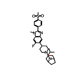 CC(C)CN1C2CCC1CC(N1CCC(c3cc4nc(-c5ccc(S(C)(=O)=O)cc5)n(C)c4cc3F)CC1)C2